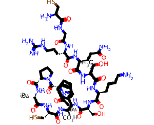 CC[C@H](C)[C@H](NC(=O)[C@@H]1CCCN1C(=O)[C@@H]1CCCN1C(=O)[C@@H](NC(=O)[C@H](CO)NC(=O)[C@H](CCCCN)NC(=O)[C@@H](NC(=O)[C@H](CCC(N)=O)NC(=O)[C@H](CCCNC(=N)N)NC(=O)CNC(=O)[C@@H](N)CS)[C@@H](C)O)[C@@H](C)CC)C(=O)N[C@@H](CS)C(=O)N[C@@H](Cc1ccccc1)C(=O)O